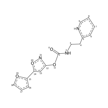 O=C(NCCc1ccccn1)Oc1cc(-c2ccco2)on1